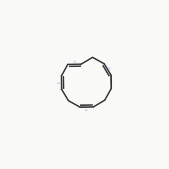 [C]1=C\C=C\C/C=C\CC/C=C\C/1